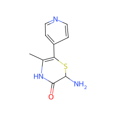 CC1=C(c2ccncc2)SC(N)C(=O)N1